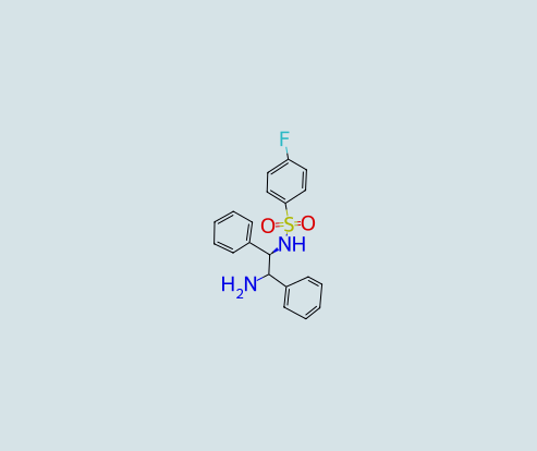 NC(c1ccccc1)[C@H](NS(=O)(=O)c1ccc(F)cc1)c1ccccc1